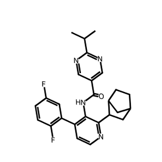 CC(C)c1ncc(C(=O)Nc2c(-c3cc(F)ccc3F)ccnc2C2CC3CCC2C3)cn1